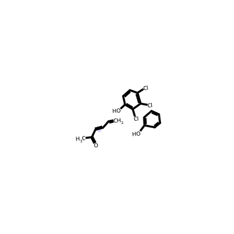 C=C/C=C/C(C)=O.Oc1ccc(Cl)c(Cl)c1Cl.Oc1ccccc1